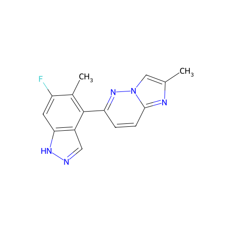 Cc1cn2nc(-c3c(C)c(F)cc4[nH]ncc34)ccc2n1